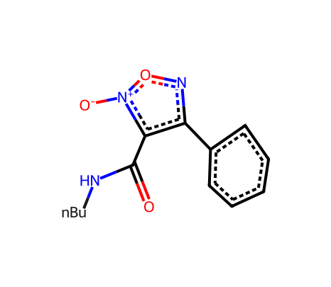 CCCCNC(=O)c1c(-c2ccccc2)no[n+]1[O-]